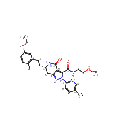 Cc1ccc(OCC(F)(F)F)cc1CC[C@H]1Cc2nn(-c3ccc(C#N)cn3)c(C(=O)NCCOC(F)(F)F)c2C(=O)N1